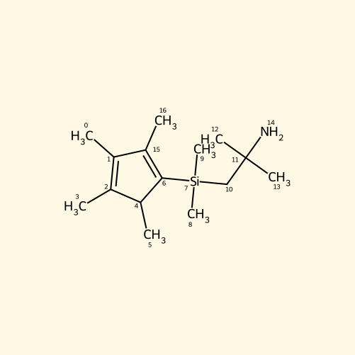 CC1=C(C)C(C)C([Si](C)(C)CC(C)(C)N)=C1C